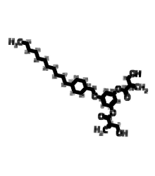 C=C(CO)C(=O)Oc1cc(OCC2CCC(CCCCCCCCCCC)CC2)cc(OC(=O)C(=C)CO)c1